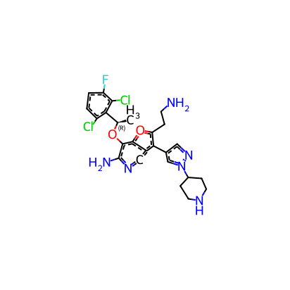 C[C@@H](Oc1c(N)ncc2c(-c3cnn(C4CCNCC4)c3)c(CCN)oc12)c1c(Cl)ccc(F)c1Cl